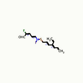 C=C/C=C(C=C)/C=C/CSN(I)/C=C/C=C(/F)C=O